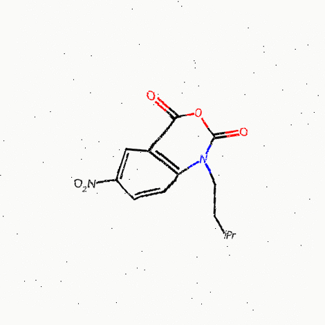 CC(C)CCn1c(=O)oc(=O)c2cc([N+](=O)[O-])ccc21